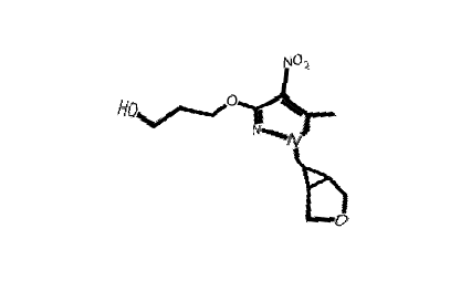 Cc1c([N+](=O)[O-])c(OCCCO)nn1C1C2COCC21